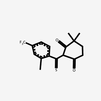 Cc1cc(C(F)(F)F)ccc1C(=S)C1C(=O)CCC(C)(C)C1=O